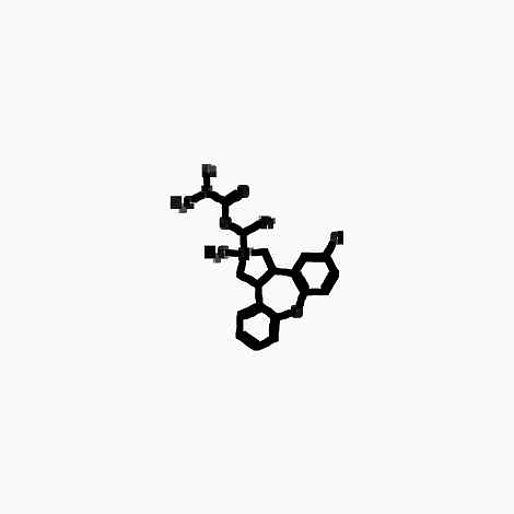 CCN(C)C(=O)OC(C(C)C)[N+]1(C)CC2c3ccccc3Oc3ccc(Cl)cc3C2C1